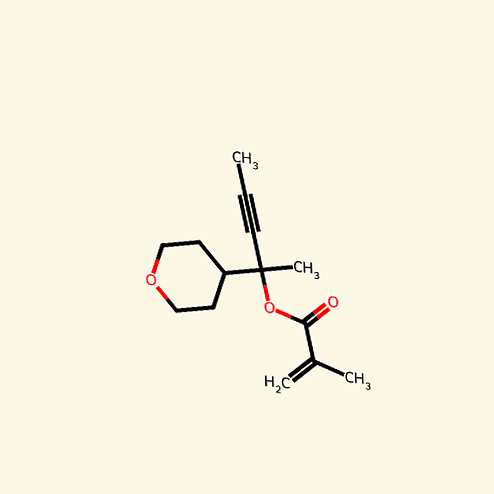 C=C(C)C(=O)OC(C)(C#CC)C1CCOCC1